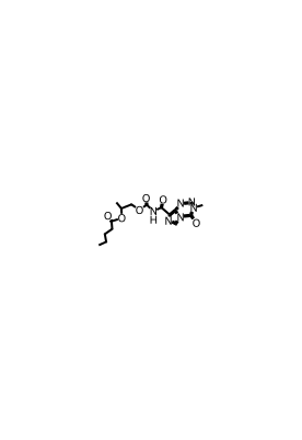 CCCCC(=O)OC(C)COC(=O)NC(=O)c1ncn2c(=O)n(C)nnc12